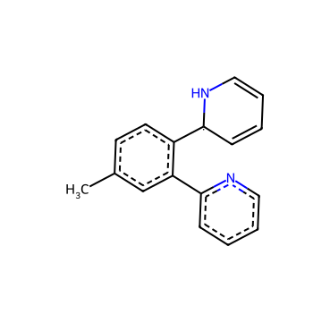 Cc1ccc([C]2C=CC=CN2)c(-c2ccccn2)c1